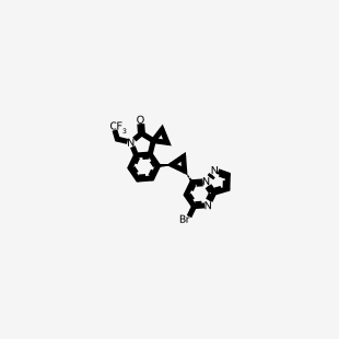 O=C1N(CC(F)(F)F)c2cccc([C@H]3C[C@@H]3c3cc(Br)nc4ccnn34)c2C12CC2